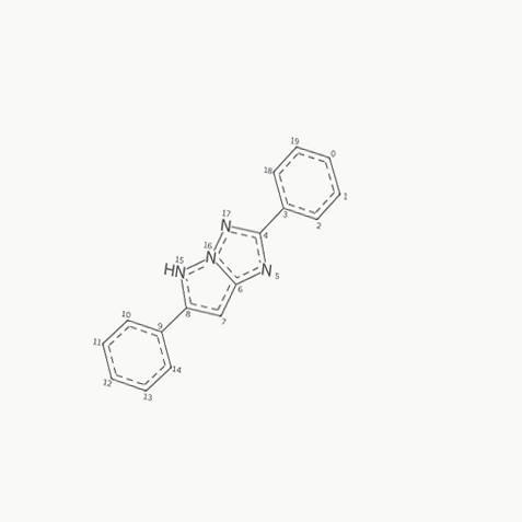 c1ccc(-c2nc3cc(-c4ccccc4)[nH]n3n2)cc1